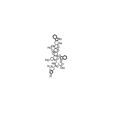 N[C@@H](Cc1c[nH]cn1)C(=O)N[C@@H](CCC(=O)O)C(=O)N1C[C@H](O)C[C@H]1C(=O)N[C@@H](Cc1c[nH]c2ccccc12)C(=O)N[C@@H](CO)C(=O)N[C@@H](Cc1c[nH]c2ccccc12)C(=O)O